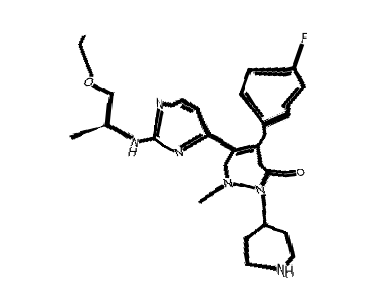 COC[C@H](C)Nc1nccc(-c2c(-c3ccc(F)cc3)c(=O)n(C3CCNCC3)n2C)n1